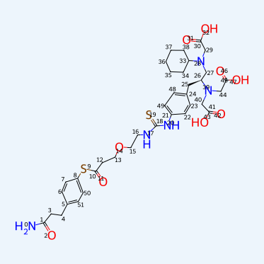 NC(=O)CCc1ccc(SC(=O)CCOCCNC(=S)Nc2ccc(C[C@@H](CN(CC(=O)O)C3CCCCC3)N(CC(=O)O)CC(=O)O)cc2)cc1